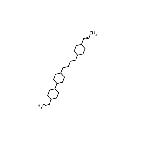 C/C=C/C1CCC(CCCCC2CCC(C3CCC(CC)CC3)CC2)CC1